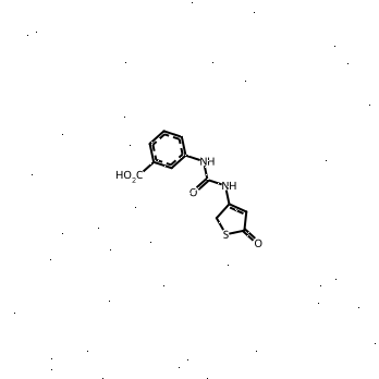 O=C(NC1=CC(=O)SC1)Nc1cccc(C(=O)O)c1